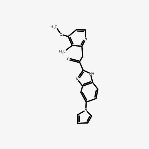 COc1ccnc(CC(=O)c2nc3cc(-n4cccc4)ccc3[nH]2)c1C